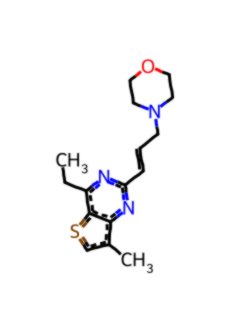 CCc1nc(/C=C/CN2CCOCC2)nc2c(C)csc12